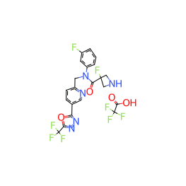 O=C(N(Cc1ccc(-c2nnc(C(F)(F)F)o2)cn1)c1cccc(F)c1)C1(F)CNC1.O=C(O)C(F)(F)F